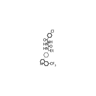 CCC(NC(=O)NNC(=O)c1ccc(Cl)cc1)[C@H]1CC[C@@H](c2ccnc3ccc(C(F)(F)F)cc32)CC1